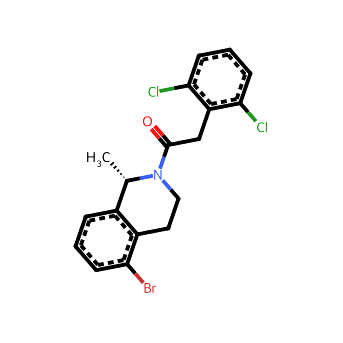 C[C@H]1c2cccc(Br)c2CCN1C(=O)Cc1c(Cl)cccc1Cl